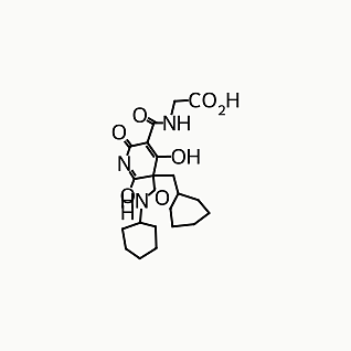 O=C(O)CNC(=O)C1=C(O)C(CC2CCCCC2)(C(=O)NC2CCCCC2)C(O)=NC1=O